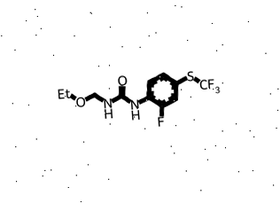 CCOCNC(=O)Nc1ccc(SC(F)(F)F)cc1F